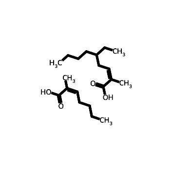 CCCCC(CC)CC=C(C)C(=O)O.CCCCC=C(C)C(=O)O